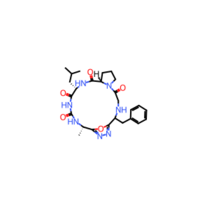 CC(C)C[C@@H]1NC(=O)[C@@H]2CCCN2C(=O)CNC(Cc2ccccc2)c2nnc(o2)[C@H](C)NC(=O)NC1=O